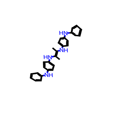 C/C(Nc1ccc(Nc2ccccc2)cc1)=C(/C)Nc1ccc(Nc2ccccc2)cc1